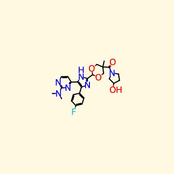 CN(C)c1nccc(-c2[nH]c(C3OCC(C)(C(=O)N4CCC(O)C4)CO3)nc2-c2ccc(F)cc2)n1